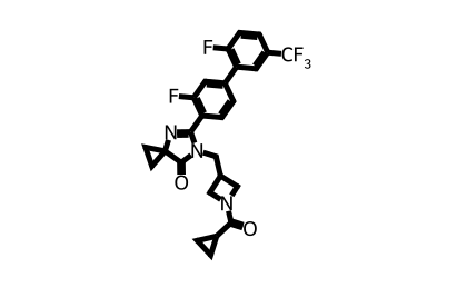 O=C(C1CC1)N1CC(CN2C(=O)C3(CC3)N=C2c2ccc(-c3cc(C(F)(F)F)ccc3F)cc2F)C1